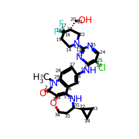 Cn1c(=O)c2c(c3cc(Nc4nc(N5CCC(F)(F)[C@H](CO)C5)ncc4Cl)ccc31)N[C@@H](C1CC1)CCO2